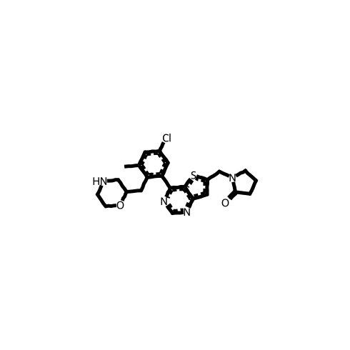 Cc1cc(Cl)cc(-c2ncnc3cc(CN4CCCC4=O)sc23)c1CC1CNCCO1